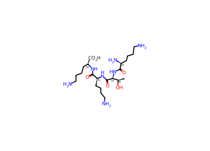 C[C@@H](O)[C@H](NC(=O)[C@@H](N)CCCCN)C(=O)N[C@@H](CCCCN)C(=O)N[C@@H](CCCCN)C(=O)O